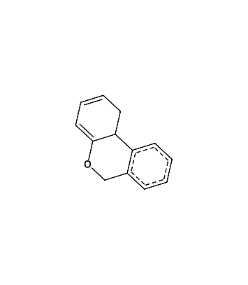 C1=CCC2C(=C1)OCc1ccccc12